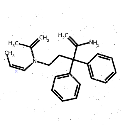 C=C(C)N(/C=C\C)CCC(C(=C)N)(c1ccccc1)c1ccccc1